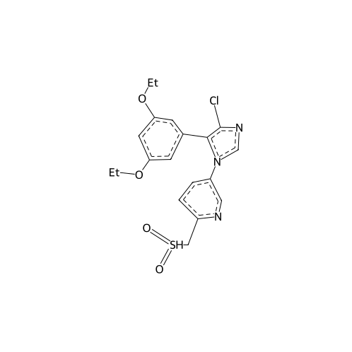 CCOc1cc(OCC)cc(-c2c(Cl)ncn2-c2ccc(C[SH](=O)=O)nc2)c1